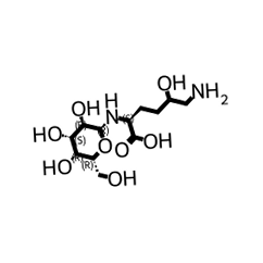 NCC(O)CC[C@H](N[C@@H]1O[C@H](CO)[C@H](O)[C@H](O)[C@H]1O)C(=O)O